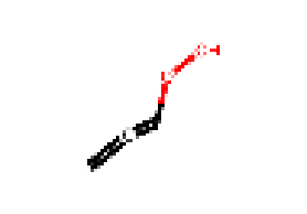 C=C=COO